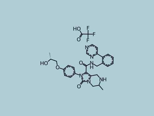 CC1Cn2c(c(C(=O)NCc3ccccc3-c3ccncn3)n(-c3ccc(OC[C@@H](C)O)cc3)c2=O)CN1.O=C(O)C(F)(F)F